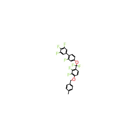 Cc1ccc(COc2ccc(C(F)(F)Oc3ccc(-c4cc(F)c(F)c(F)c4)c(F)c3)c(F)c2F)cc1